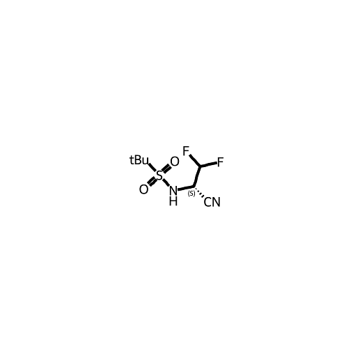 CC(C)(C)S(=O)(=O)N[C@@H](C#N)C(F)F